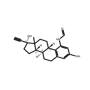 C#C[C@]1(O)CC[C@H]2[C@@H]3CCc4cc(O)cc(NC=O)c4[C@H]3CCC21C